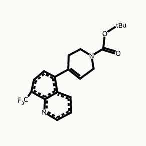 CC(C)(C)OC(=O)N1CC=C(c2ccc(C(F)(F)F)c3ncccc23)CC1